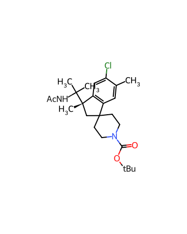 CC(=O)NC(C)(C)[C@@]1(C)CC2(CCN(C(=O)OC(C)(C)C)CC2)c2cc(C)c(Cl)cc21